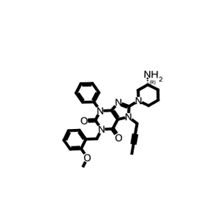 CC#CCn1c(N2CCC[C@@H](N)C2)nc2c1c(=O)n(Cc1ccccc1OC)c(=O)n2-c1ccccc1